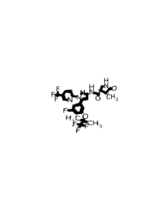 C[C@H]1C(=O)NC[C@@H]1C(=O)Nc1cc(-c2cc(F)cc(OC(C)(C)C(F)(F)F)c2)n(-c2ccc(C(F)(F)F)cn2)n1